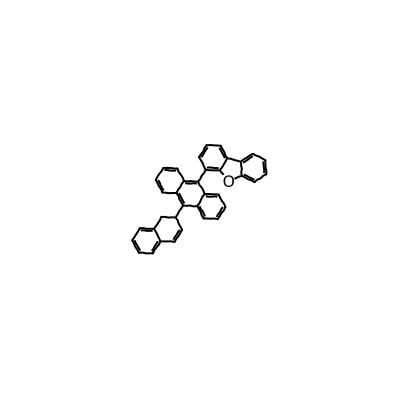 C1=CC(c2c3ccccc3c(-c3cccc4c3oc3ccccc34)c3ccccc23)Cc2ccccc21